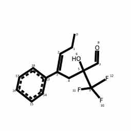 CCC=C(CC(O)(C=O)C(F)(F)F)c1ccccc1